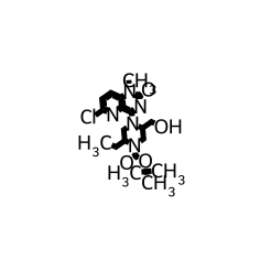 CCC1CN(c2nc(=O)n(C)c3ccc(Cl)nc23)C(CO)CN1C(=O)OC(C)(C)C